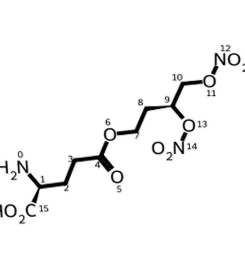 N[C@@H](CCC(=O)OCC[C@@H](CO[N+](=O)[O-])O[N+](=O)[O-])C(=O)O